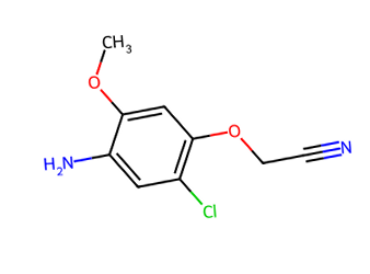 COc1cc(OCC#N)c(Cl)cc1N